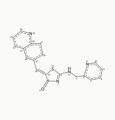 O=C1N=C(NCc2ccccn2)S/C1=C\c1ccc2ncccc2c1